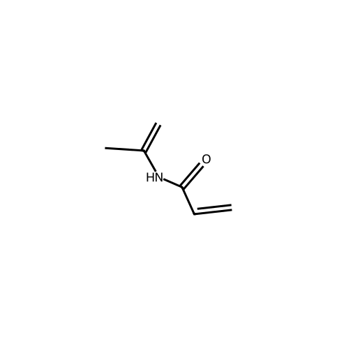 C=CC(=O)NC(=C)C